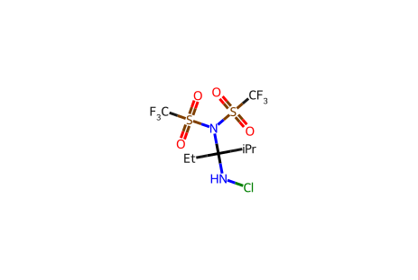 CCC(NCl)(C(C)C)N(S(=O)(=O)C(F)(F)F)S(=O)(=O)C(F)(F)F